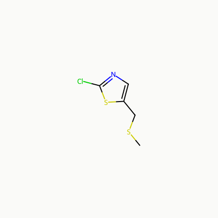 CSCc1cnc(Cl)s1